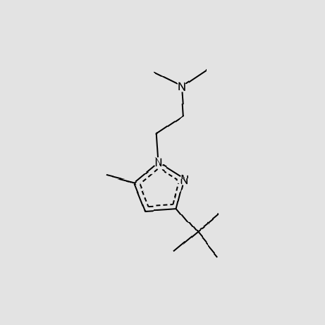 Cc1cc(C(C)(C)C)nn1CCN(C)C